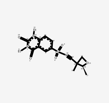 CCn1c(=O)c2cc(S(=O)(=O)[N+]#CC3(C)CO[C@H]3C)ccc2n(CC)c1=O